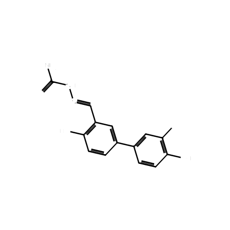 NC(=S)N/N=C/c1cc(-c2ccc(O)c(F)c2)ccc1O